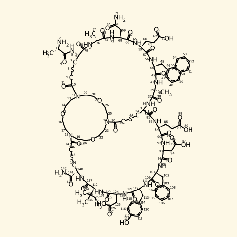 C[C@H](N)C(=O)N[C@H]1CSCC(=O)N2CCOCCN3CCOCCN(CCOCC2)C(=O)CSC[C@@H](NC(=O)[C@@H](C)NC(=O)[C@H](Cc2cccc4ccccc24)NC(=O)[C@H](CCC(=O)O)NC(=O)[C@H](CC(N)=O)NC(=O)[C@@H](C)NC1=O)C(=O)N[C@@H](CCC(=O)O)C(=O)NC(CC(=O)O)C(=O)N[C@@H](Cc1ccccc1)C(=O)N[C@@H](Cc1ccc(O)cc1)C(=O)NC(CC(=O)O)C(=O)N[C@@H](C(C)(C)C)C(=O)N[C@H](C(N)=O)CSCC3=O